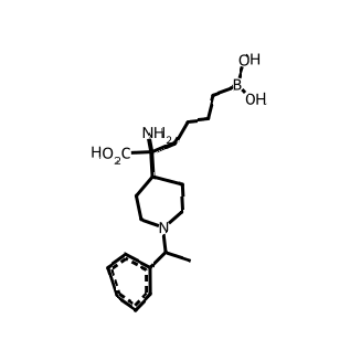 CC(c1ccccc1)N1CCC(C(N)(CCCCB(O)O)C(=O)O)CC1